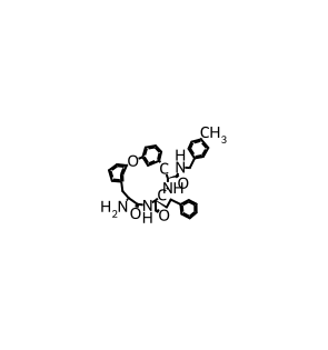 Cc1ccc(CNC(=O)[C@@H]2Cc3cccc(c3)Oc3cccc(c3)C[C@H](N)C(=O)N[C@](C=O)(CCc3ccccc3)CN2)cc1